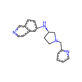 c1ccc(CN2CC[C@@H](Nc3ccc4cnccc4c3)C2)nc1